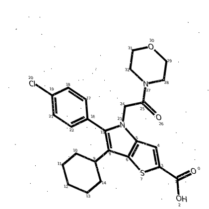 O=C(O)c1cc2c(s1)c(C1CCCCC1)c(-c1ccc(Cl)cc1)n2CC(=O)N1CCOCC1